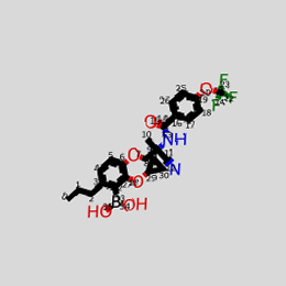 CCCc1ccc(OCC(C)(C#N)NC(=O)c2ccc(OC(F)(F)F)cc2)c(OC2CC2)c1B(O)O